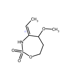 C/C=C1/NS(=O)(=O)OCCC1OC